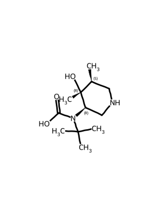 C[C@H]1CNC[C@@H](N(C(=O)O)C(C)(C)C)[C@]1(C)O